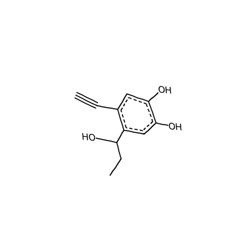 C#Cc1cc(O)c(O)cc1C(O)CC